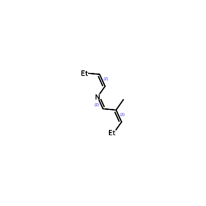 CC\C=C/N=C\C(C)=C/CC